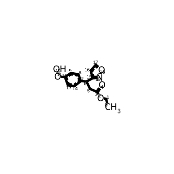 CCOC(=O)CC(c1ccc(OO)cc1)c1ccon1